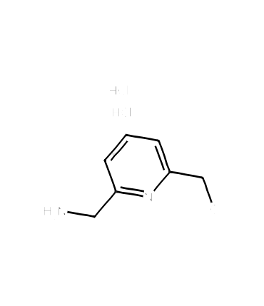 Cl.Cl.NCc1cccc(CCl)n1